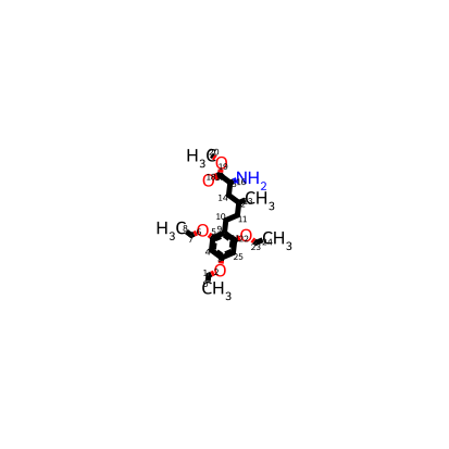 CCOc1cc(OCC)c(CCC(C)CC(N)C(=O)OC)c(OCC)c1